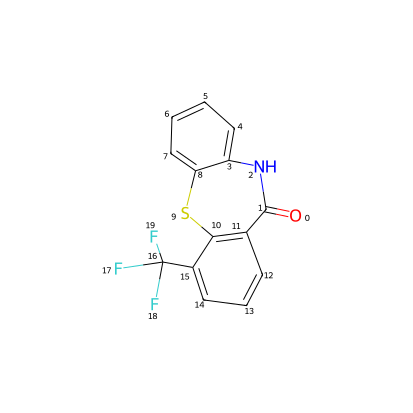 O=C1Nc2ccccc2Sc2c1cccc2C(F)(F)F